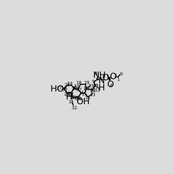 CCOC(=O)ONC(=N)C[C@@H](C)[C@H]1CCC2C3C(CC[C@@]21C)[C@@]1(C)CC[C@@H](O)C[C@H]1[C@@H](CC)[C@H]3O